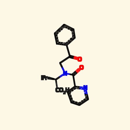 CC(C)[C@H](C(=O)O)N(CC(=O)c1ccccc1)C(=O)c1ccccn1